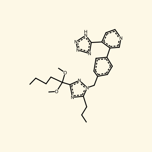 CCCCC(OC)(OC)c1nc(CCC)n(Cc2ccc(-c3cnccc3-c3nnn[nH]3)cc2)n1